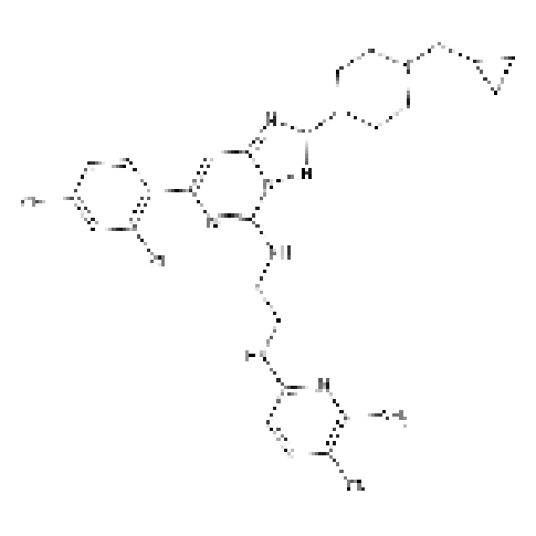 N#Cc1ccc(NCCNc2nc(-c3ccc(Cl)cc3Cl)cc3nc(C4CCN(CC5CC5)CC4)nn23)nc1N